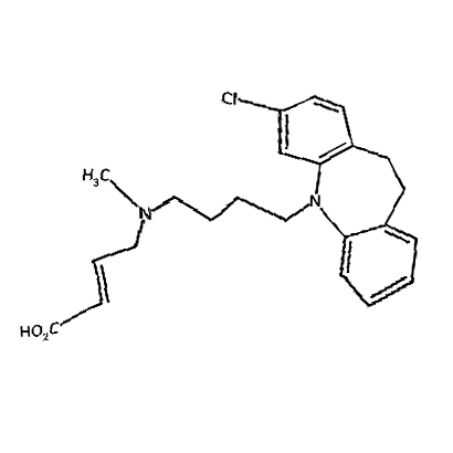 CN(C/C=C/C(=O)O)CCCCN1c2ccccc2CCc2ccc(Cl)cc21